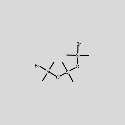 C[Si](C)(Br)O[Si](C)(C)O[Si](C)(C)Br